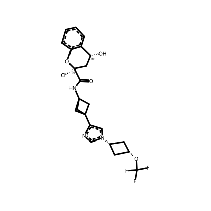 O=C(NC12CC(c3cn([C@H]4C[C@@H](OC(F)(F)F)C4)cn3)(C1)C2)[C@]1(Cl)C[C@@H](O)c2ccccc2O1